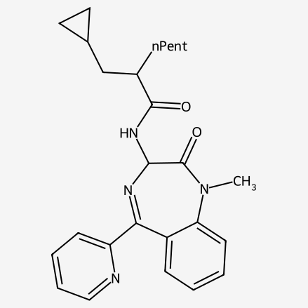 CCCCCC(CC1CC1)C(=O)NC1N=C(c2ccccn2)c2ccccc2N(C)C1=O